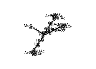 COC(=O)CCCCCCCCCCC(=O)NC(COCCC(=O)NCCCNC(=O)CCCCOC1OC(COC(C)=O)C(OC(C)=O)C(OC(C)=O)C1NC(C)=O)(COCCC(=O)NCCCNC(=O)CCCCOC1OC(COC(C)=O)C(OC(C)=O)C(OC(C)=O)C1NC(C)=O)COCCC(=O)NCCCNC(=O)CCCCOC1OC(COC(C)=O)C(OC(C)=O)C(OC(C)=O)C1NC(C)=O